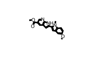 COC(=O)c1cnc2[nH]c(-c3cc4cc(OC)ccc4n3C)cc2c1